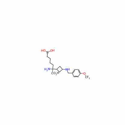 NC(CCCCB(O)O)(C(=O)O)C1CC(NCc2ccc(OC(F)(F)F)cc2)C1